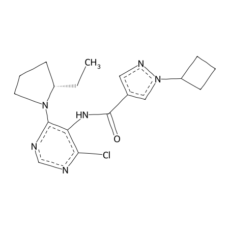 CC[C@H]1CCCN1c1ncnc(Cl)c1NC(=O)c1cnn(C2CCC2)c1